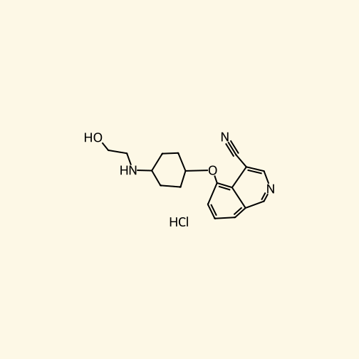 Cl.N#Cc1cncc2cccc(OC3CCC(NCCO)CC3)c12